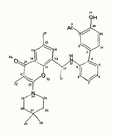 CC(=O)c1cc(-c2ccccc2N[C@H](C)c2cc(C)cc3c(=O)c(C)c(N4CCC(C)(C)CC4)oc23)ccc1O